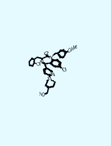 COc1ccc(CN2C(=O)C(Cc3ccccc3Cl)N=C(c3ccc(N4CCC(CO)CC4)nc3)c3cc(Cl)ccc32)cc1